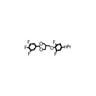 CCCc1cc(F)c(OCC2COC(c3cc(F)c(F)c(F)c3)OC2)c(F)c1